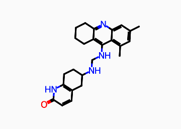 Cc1cc(C)c2c(NCNC3CCc4[nH]c(=O)ccc4C3)c3c(nc2c1)CCCC3